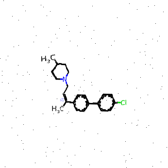 C/C(=C/CN1CCC(C)CC1)c1ccc(-c2ccc(Cl)cc2)cc1